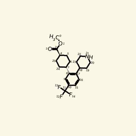 COC(=O)[C@H]1CC[C@H](c2cc(C(F)(F)F)ccc2C2CCNCC2)CC1